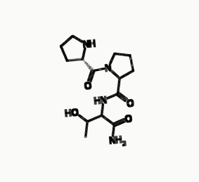 CC(O)C(NC(=O)C1CCCN1C(=O)[C@@H]1CCCN1)C(N)=O